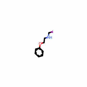 ICNCCOc1ccccc1